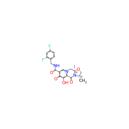 C[C@H]1CO[C@]2(I)Cn3cc(C(=O)NCc4ccc(F)cc4F)c(=O)c(O)c3C(=O)N12